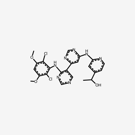 COc1cc(OC)c(Cl)c(Nc2ncncc2-c2cc(Nc3cc(C(C)O)ccn3)ncn2)c1Cl